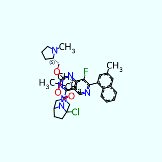 Cc1cc(-c2ncc3c(N4CC5CCC(Cl)(C4)N5C(=O)OC(C)(C)C)nc(OC[C@@H]4CCCN4C)nc3c2F)c2ccccc2c1